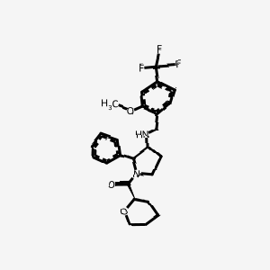 COc1cc(C(F)(F)F)ccc1CNC1CCN(C(=O)[C@H]2CCCCO2)C1c1ccccc1